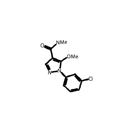 CNC(=O)c1cnn(-c2cccc(Cl)c2)c1OC